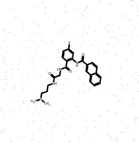 CN(C)CCCNC(=O)CNC(=O)c1ccc(F)cc1NC(=O)c1ccc2ccccc2c1